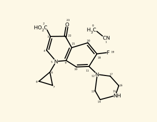 CC#N.O=C(O)c1cn(C2CC2)c2cc(N3CCNCC3)c(F)cc2c1=O